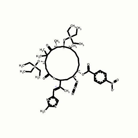 CC[Si](CC)(CC)O[C@H]1[C@@H](C)CCC[C@H](OC(=O)c2ccc([N+](=O)[O-])cc2)[C@@H](N=[N+]=[N-])CC(/C(C)=C/c2csc(C)n2)OC(=O)C[C@H](O[Si](CC)(CC)CC)C(C)(C)C(=O)[C@@H]1C